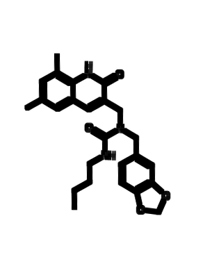 CCCCNC(=O)N(Cc1ccc2c(c1)OCO2)Cc1cc2cc(C)cc(C)c2[nH]c1=O